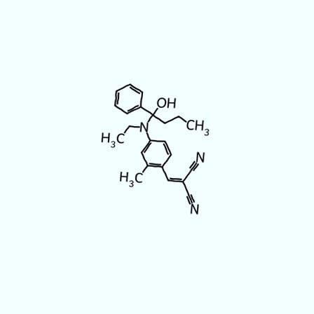 CCCC(O)(c1ccccc1)N(CC)c1ccc(C=C(C#N)C#N)c(C)c1